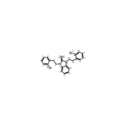 N=c1n(CCc2ccccc2Br)c2ccccc2n1CCc1ccccc1Br